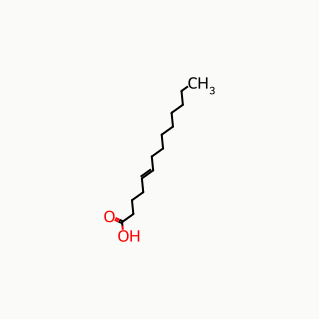 CCCCCCCC/C=C/CCCC(=O)O